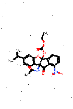 CCOC(=O)OC12Oc3cc(C(C)C)ccc3C1(NC(C)=O)C(=O)c1c([N+](=O)[O-])cccc12